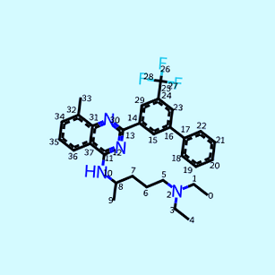 CCN(CC)CCCC(C)Nc1nc(-c2cc(-c3ccccc3)cc(C(F)(F)F)c2)nc2c(C)cccc12